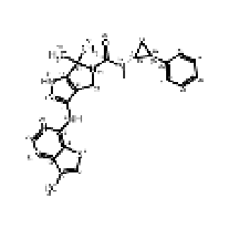 Cc1csc2c(Nc3n[nH]c4c3CN(C(=O)N[C@@H]3C[C@H]3c3ccccc3)C4(C)C)ncnc12